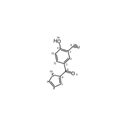 CCC(C)c1cc(C(=O)c2cccs2)ccc1O